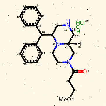 COCCC(=O)N1CCN2C(C(c3ccccc3)c3ccccc3)CNC[C@@H]2C1.Cl.Cl